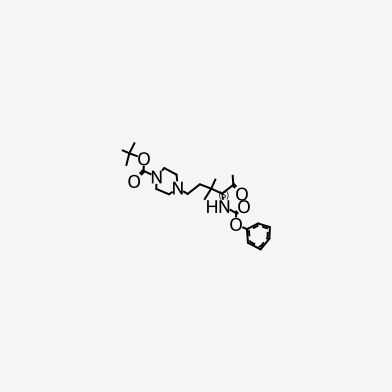 CC(=O)[C@@H](NC(=O)Oc1ccccc1)C(C)(C)CCN1CCN(C(=O)OC(C)(C)C)CC1